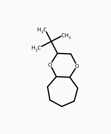 CC(C)(C)C1COC2CCCCCC2O1